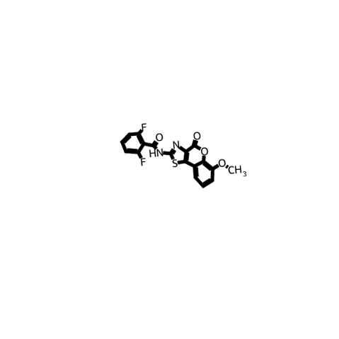 COc1cccc2c1oc(=O)c1nc(NC(=O)c3c(F)cccc3F)sc12